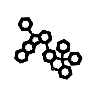 c1ccc(-n2c3cc4ccccc4cc3c3c(-c4ccc5c(c4)C(c4ccccc4)(c4ccccc4)c4ccccc4O5)cccc32)cc1